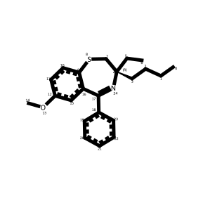 CCCC[C@]1(CC)CSc2c[c]c(OC)cc2C(c2ccccc2)=N1